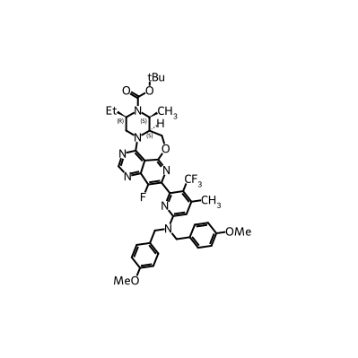 CC[C@@H]1CN2c3ncnc4c(F)c(-c5nc(N(Cc6ccc(OC)cc6)Cc6ccc(OC)cc6)cc(C)c5C(F)(F)F)nc(c34)OC[C@@H]2[C@H](C)N1C(=O)OC(C)(C)C